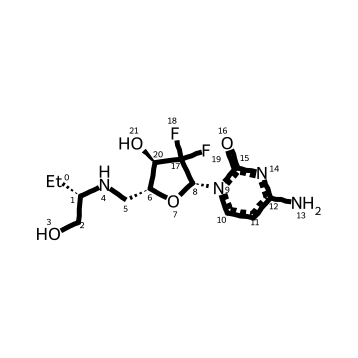 CC[C@@H](CO)NC[C@H]1O[C@@H](n2ccc(N)nc2=O)C(F)(F)[C@@H]1O